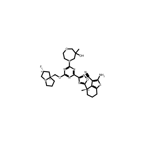 CC1(O)COCCN(c2nc(OC[C@@]34CCCN3C[C@H](F)C4)nc(-c3noc([C@@]4(C)CCCc5sc(N)c(C#N)c54)n3)n2)C1